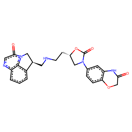 O=C1COc2ccc(N3C[C@H](CCNC[C@@H]4Cn5c(=O)cnc6cccc4c65)OC3=O)cc2N1